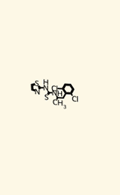 CC(Cc1c(Cl)cccc1Cl)NC(=S)Nc1nccs1